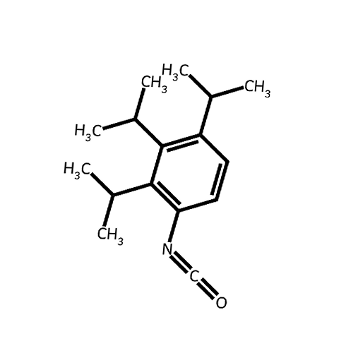 CC(C)c1ccc(N=C=O)c(C(C)C)c1C(C)C